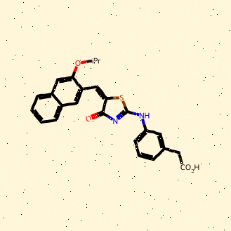 CC(C)Oc1cc2ccccc2cc1C=C1SC(Nc2cccc(CC(=O)O)c2)=NC1=O